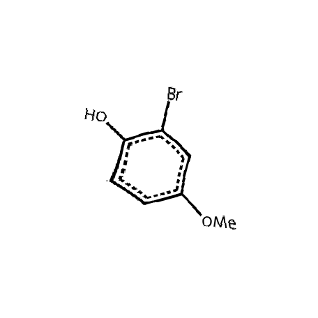 COc1c[c]c(O)c(Br)c1